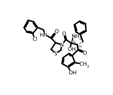 Cc1c(O)cccc1C(=O)[C@@H](Cc1ccccc1)[C@](N)(O)C(=O)N1CSCC1C(=O)NCc1ccccc1Cl